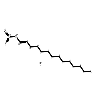 CCCCCCCCCCCCC=CO[S-](=O)=O.[K+]